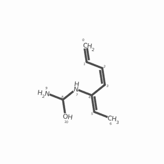 C=C/C=C\C(=C/C)NC(N)O